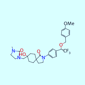 COc1ccc(CO[C@H](c2ccc(N3CCC4(CCC(O)(CN5CCN(C)C5=O)CC4)C3=O)cc2)C(F)(F)F)cc1